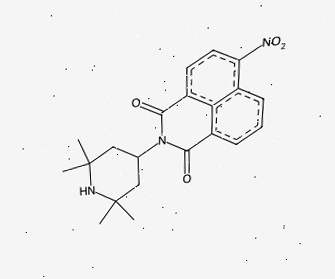 CC1(C)CC(N2C(=O)c3cccc4c([N+](=O)[O-])ccc(c34)C2=O)CC(C)(C)N1